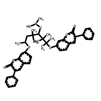 CC(CC(C)(C)C(ON(C)O)C(C)(C)C(C)(C)Oc1ccc2cc(-c3ccccc3)c(=O)oc2c1)Oc1ccc2cc(-c3ccccc3)c(=O)oc2c1